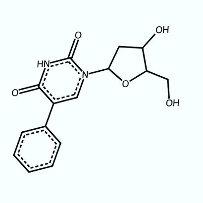 O=c1[nH]c(=O)n(C2CC(O)C(CO)O2)cc1-c1ccccc1